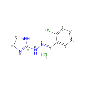 Cl.Fc1ccccc1/C=N/NC1=NCCN1